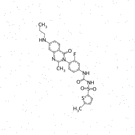 CCCNc1ccc2c(=O)n(-c3ccc(NC(=O)NS(=O)(=O)c4ccc(C)s4)cc3F)c(C)nc2c1